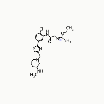 CCO/C(N)=N\CC(=O)Nc1cc(-c2nc(CN3CCCC(NC)C3)cs2)ccc1Cl